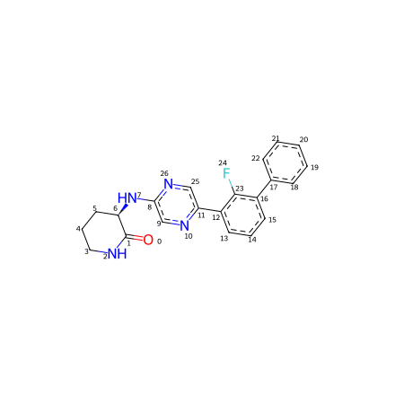 O=C1NCCC[C@H]1Nc1cnc(-c2cccc(-c3ccccc3)c2F)cn1